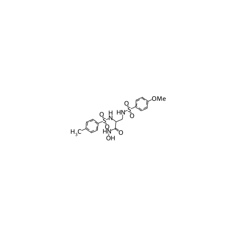 COc1ccc(S(=O)(=O)NCC(NS(=O)(=O)c2ccc(C)cc2)C(=O)NO)cc1